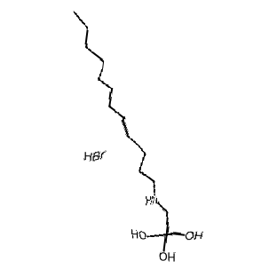 Br.CCCCCCCCCCCCNCC(O)(O)O